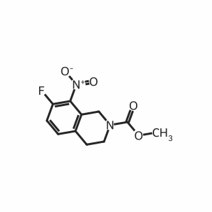 COC(=O)N1CCc2ccc(F)c([N+](=O)[O-])c2C1